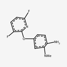 CNc1cc(Oc2nc(F)ccc2F)ccc1N